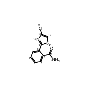 NC(=O)c1ccccc1-c1nc(Cl)cs1